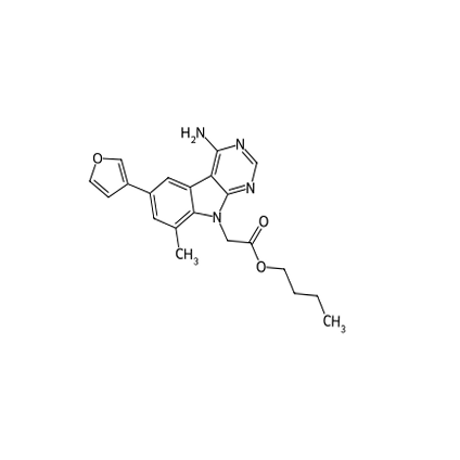 CCCCOC(=O)Cn1c2ncnc(N)c2c2cc(-c3ccoc3)cc(C)c21